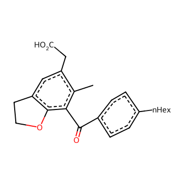 CCCCCCc1ccc(C(=O)c2c(C)c(CC(=O)O)cc3c2OCC3)cc1